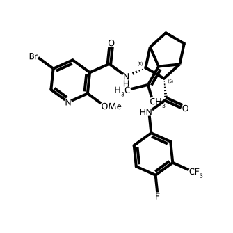 COc1ncc(Br)cc1C(=O)N[C@@H]1C2CCC(C2=C(C)C)[C@@H]1C(=O)Nc1ccc(F)c(C(F)(F)F)c1